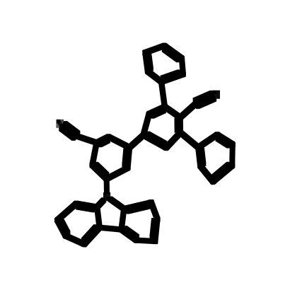 N#Cc1cc(-c2cc(-c3ccccc3)c(C#N)c(-c3ccccc3)c2)cc(-n2c3ccccc3c3ccccc32)c1